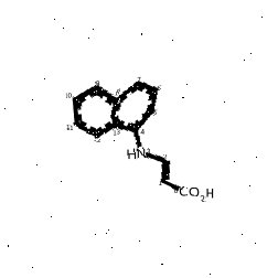 O=C(O)/C=C/Nc1cccc2ccccc12